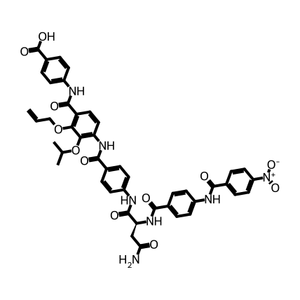 C=CCOc1c(C(=O)Nc2ccc(C(=O)O)cc2)ccc(NC(=O)c2ccc(NC(=O)[C@H](CC(N)=O)NC(=O)c3ccc(NC(=O)c4ccc([N+](=O)[O-])cc4)cc3)cc2)c1OC(C)C